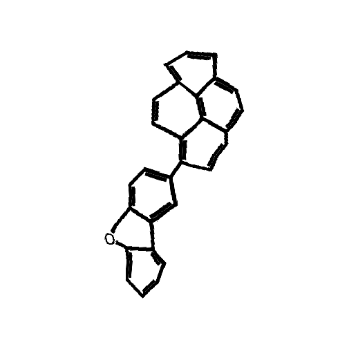 c1cc2ccc3ccc(-c4ccc5oc6ccccc6c5c4)c4ccc(c1)c2c34